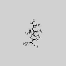 C=C(C)C(=O)O[N+](C)(C)C(C)CC(O)CCl.[Cl-]